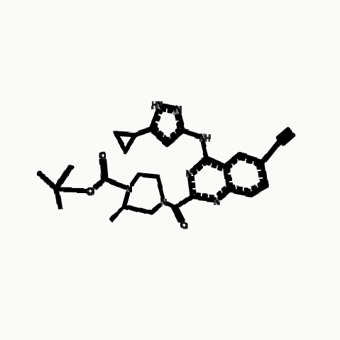 C#Cc1ccc2nc(C(=O)N3CCN(C(=O)OC(C)(C)C)[C@H](C)C3)nc(Nc3cc(C4CC4)[nH]n3)c2c1